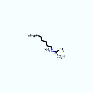 CCCCCCCCCCCCN[C@@H](C)C(=O)O.[KH]